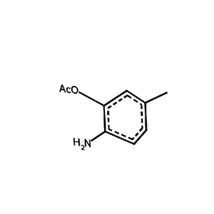 CC(=O)Oc1cc(C)ccc1N